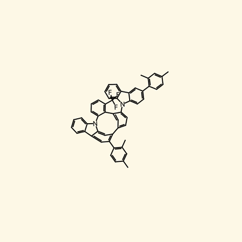 Cc1ccc(-c2ccc3c(c2)c2ccccc2n3-c2ccc3cc2c2c(C(F)(F)F)cccc2n2c4ccccc4c4cc(-c5ccc(C)cc5C)c3cc42)c(C)c1